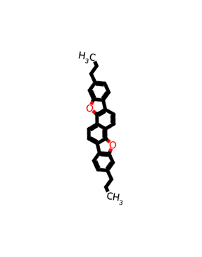 CCCc1ccc2c(c1)oc1c2ccc2c1ccc1c3ccc(CCC)cc3oc12